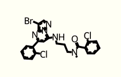 CN(CCCNc1cc(-c2ccccc2Cl)nc2c(Br)cnn12)C(=O)c1ccccc1Cl